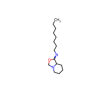 CCCCCCCCN=C1OCN2CCCCC12